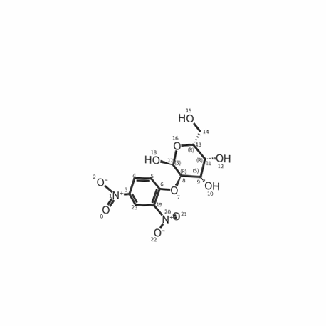 O=[N+]([O-])c1ccc(O[C@@H]2[C@@H](O)[C@@H](O)[C@@H](CO)O[C@@H]2O)c([N+](=O)[O-])c1